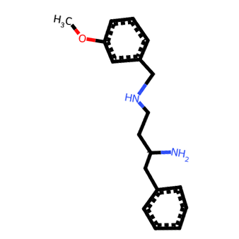 COc1cccc(CNCC[C](N)Cc2ccccc2)c1